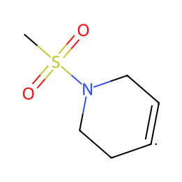 CS(=O)(=O)N1CC=[C]CC1